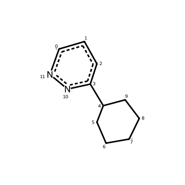 [c]1ccc(C2CC[CH]CC2)nn1